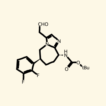 CC(C)(C)OC(=O)N[C@@H]1CC[C@@H](c2cccc(F)c2F)Cn2c(CC=O)cnc21